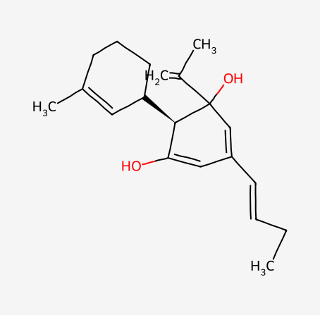 C=C(C)C1(O)C=C(/C=C/CC)C=C(O)[C@H]1C1C=C(C)CCC1